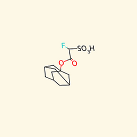 O=C(OC12CC3CC(CC(C3)C1)C2)C(F)S(=O)(=O)O